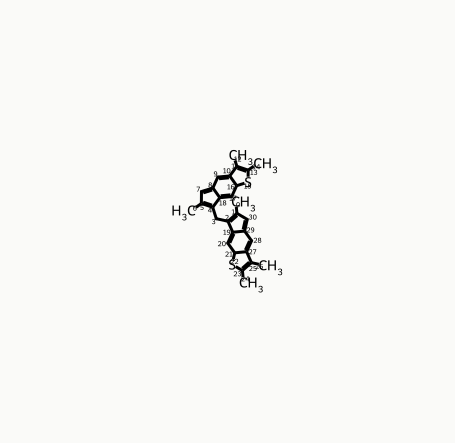 CC1=C(CC2=C(C)C=C3C=C4C(C)=C(C)SC4C=C32)C2=CC3SC(C)=C(C)C3=CC2=C1